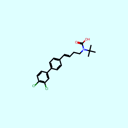 CC(C)(C)N(CCC=Cc1ccc(-c2ccc(Cl)c(Cl)c2)cc1)C(=O)O